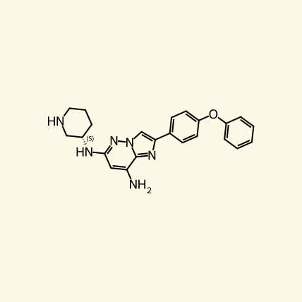 Nc1cc(N[C@H]2CCCNC2)nn2cc(-c3ccc(Oc4ccccc4)cc3)nc12